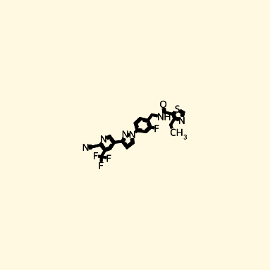 CCc1ncsc1C(=O)NCc1ccc(-n2ccc(-c3cnc(C#N)c(C(F)(F)F)c3)n2)cc1F